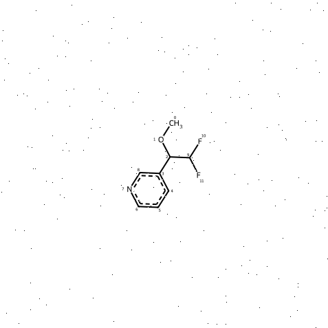 COC(c1cccnc1)C(F)F